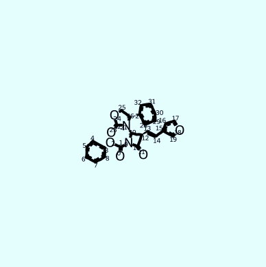 O=C(Oc1ccccc1)N1C(=O)[C@H](C=Cc2ccoc2)[C@@H]1N1C(=O)OC[C@@H]1c1ccccc1